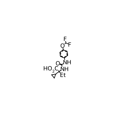 CCC(NC(=O)Nc1ccc(OC(F)F)cc1)(C(=O)O)C1CC1